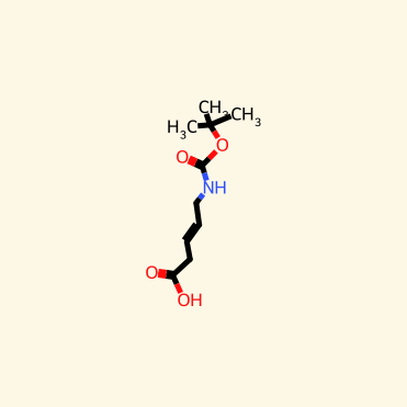 CC(C)(C)OC(=O)NCC=CCC(=O)O